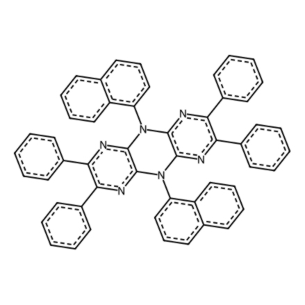 c1ccc(-c2nc3c(nc2-c2ccccc2)N(c2cccc4ccccc24)c2nc(-c4ccccc4)c(-c4ccccc4)nc2N3c2cccc3ccccc23)cc1